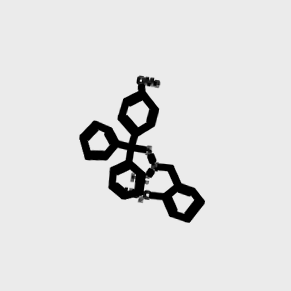 COc1ccc(C(SN(C)Cc2ccccc2C(=O)O)(c2ccccc2)c2ccccc2)cc1